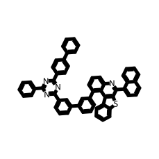 c1ccc(-c2ccc(-c3nc(-c4ccccc4)nc(-c4cccc(-c5cccc(-c6cccc7nc(-c8cccc9ccccc89)c8sc9ccccc9c8c67)c5)c4)n3)cc2)cc1